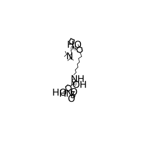 CC(C)N(CC[C@H](c1ccccc1)c1cc(CCCCCCCCNC[C@H](O)c2ccc(O)c(NS(C)(=O)=O)c2)ccc1O)C(C)C